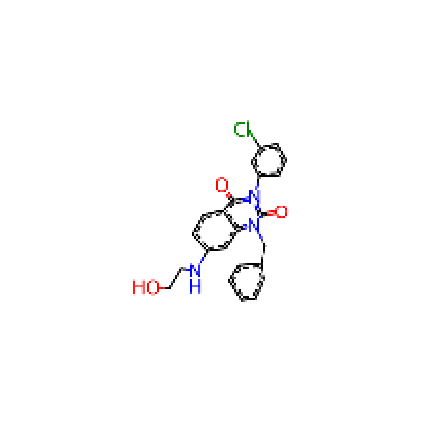 O=c1c2ccc(NCCO)cc2n(Cc2ccccc2)c(=O)n1-c1cccc(Cl)c1